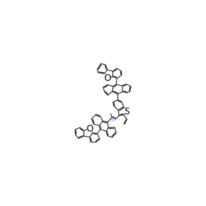 C=Cc1sc2cc(-c3c4ccccc4c(-c4cccc5c4oc4ccccc45)c4ccccc34)ccc2c1/C=C(\C)c1c2ccccc2c(-c2cccc3c2oc2ccccc23)c2ccccc12